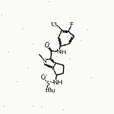 Cn1cc2c(c1C(=O)Nc1ccc(F)c(Cl)c1)CCC2N[S+]([O-])C(C)(C)C